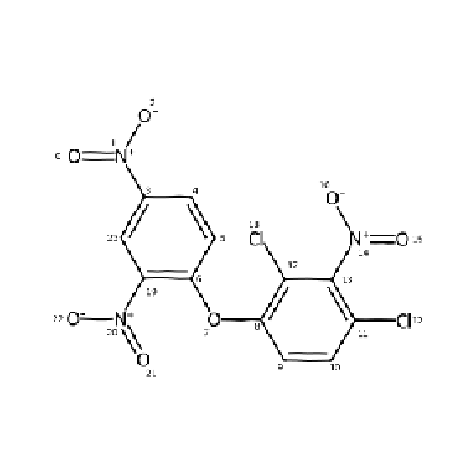 O=[N+]([O-])c1ccc(Oc2ccc(Cl)c([N+](=O)[O-])c2Cl)c([N+](=O)[O-])c1